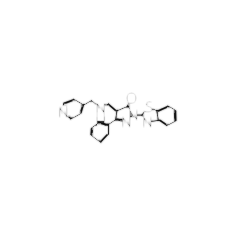 O=C1/C(=C/NCc2ccncc2)C(c2ccccc2)=NN1c1nc2ccccc2s1